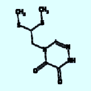 CSC(Cn1[c]n[nH]c(=O)c1=O)SC